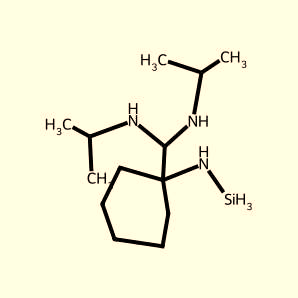 CC(C)NC(NC(C)C)C1(N[SiH3])CCCCC1